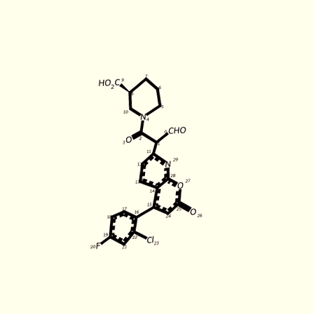 O=CC(C(=O)N1CCC[C@H](C(=O)O)C1)c1ccc2c(-c3ccc(F)cc3Cl)cc(=O)oc2n1